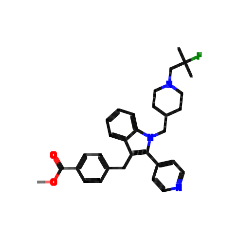 COC(=O)c1ccc(Cc2c(-c3ccncc3)n(CC3CCN(CC(C)(C)F)CC3)c3ccccc23)cc1